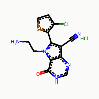 Cl.N#Cc1c(-c2sccc2Cl)n(CCN)c2c(=O)[nH]cnc12